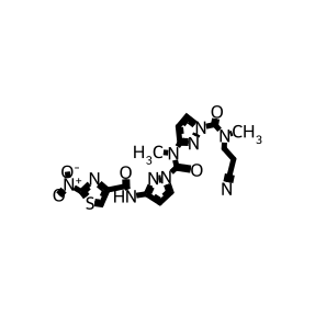 CN(CCC#N)C(=O)n1ccc(N(C)C(=O)n2ccc(NC(=O)c3csc([N+](=O)[O-])n3)n2)n1